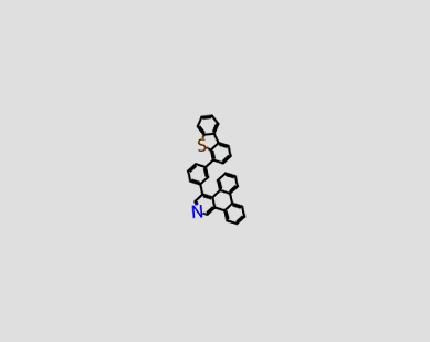 c1cc(-c2cccc3c2sc2ccccc23)cc(-c2cncc3c4ccccc4c4ccccc4c23)c1